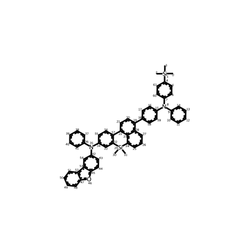 C[Si](C)(C)c1ccc(N(c2ccccc2)c2ccc(-c3ccc4c5c(cccc35)[Si](C)(C)c3cc(N(c5ccccc5)c5ccc6oc7ccccc7c6c5)ccc3-4)cc2)cc1